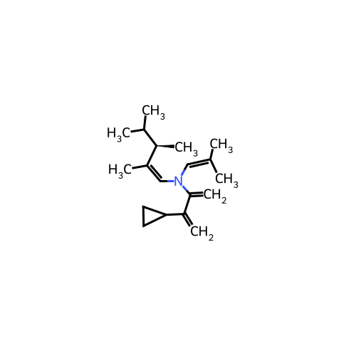 C=C(C(=C)N(C=C(C)C)/C=C(/C)[C@H](C)C(C)C)C1CC1